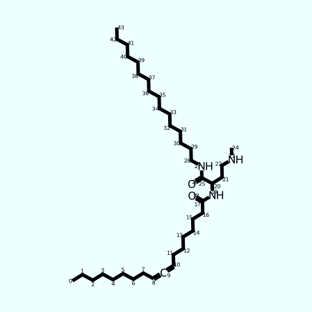 CCCCCCCCC=C=CCCCCCCC(=O)NC(CCNC)C(=O)NCCCCCCCCCCCCCCCC